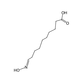 O=C(O)CCCCCCCCC=NO